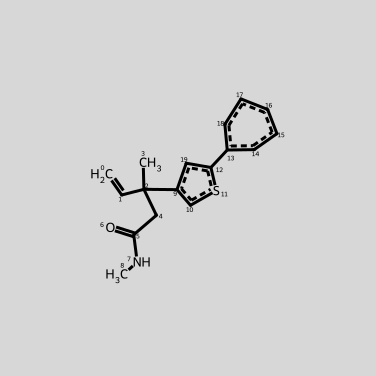 C=CC(C)(CC(=O)NC)c1csc(-c2ccccc2)c1